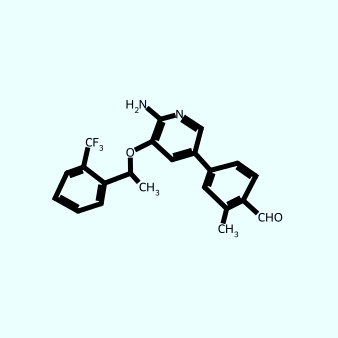 Cc1cc(-c2cnc(N)c(OC(C)c3ccccc3C(F)(F)F)c2)ccc1C=O